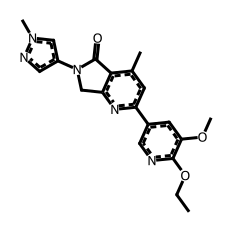 CCOc1ncc(-c2cc(C)c3c(n2)CN(c2cnn(C)c2)C3=O)cc1OC